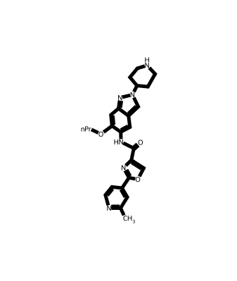 CCCOc1cc2nn(C3CCNCC3)cc2cc1NC(=O)c1coc(-c2ccnc(C)c2)n1